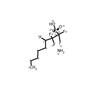 CCCCCC(F)C(F)(F)C(F)(F)S(=O)(=O)O.N